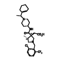 CC(C1=CCCCC1)N1CCC(NC(=O)[C@]2(CC(=O)O)CN(Cc3c(Cl)cccc3C(F)(F)F)C[C@@H]2C)CC1